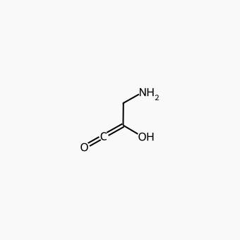 NCC(O)=C=O